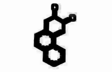 O=C1C=c2ccc3ccccc3c2=CC1=O